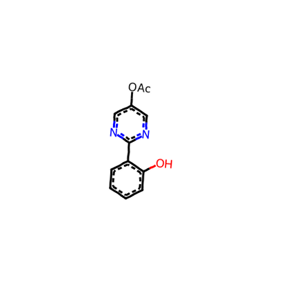 CC(=O)Oc1cnc(-c2ccccc2O)nc1